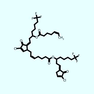 C/C=C\CCCC(=O)OC(C/C=C1\C(=O)C(Cl)=CC1C/C=C\CCCC(=O)OC(C/C=C1\CC=C(Cl)C1=O)CCCCC(F)(F)F)CCCCC(F)(F)F